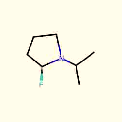 CC(C)N1CCC[C@@H]1F